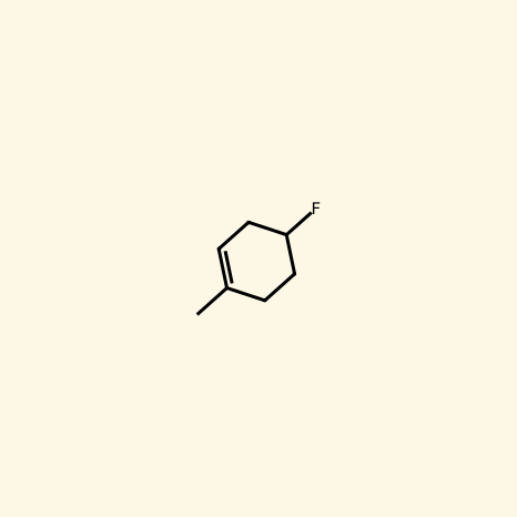 CC1=CCC(F)CC1